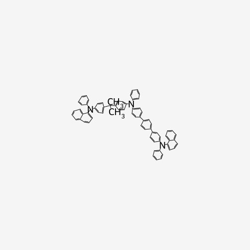 CC(C)(c1ccc(N(c2ccccc2)c2ccc(-c3ccc(-c4ccc(N(c5ccccc5)c5cccc6ccccc56)cc4)cc3)cc2)cc1)c1ccc(N(c2ccccc2)c2cccc3ccccc23)cc1